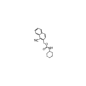 N#Cc1c(COC(=O)NC2CCCCC2)ccc2ccccc12